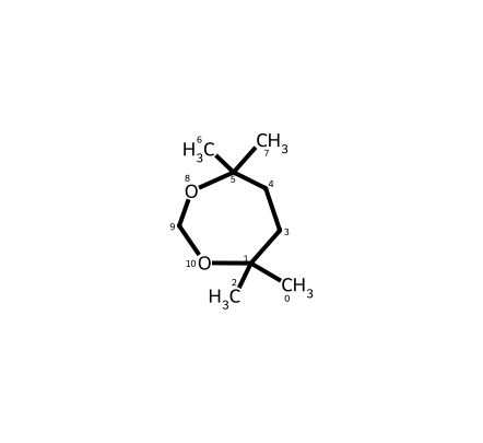 CC1(C)CCC(C)(C)OCO1